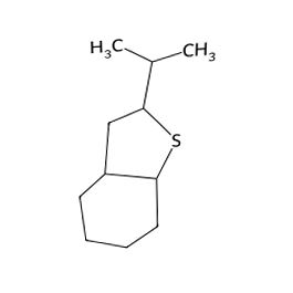 CC(C)C1CC2CCCCC2S1